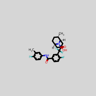 Cc1cc(NC(=O)c2ccc(F)c(C(F)(F)C(=O)N3[C@@H]4CC[C@H](C)[C@H]3CC(O)C4)c2)ccc1F